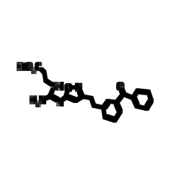 CCOC(=O)CCNC(N)=Nc1cc(CCc2cccc(C(=O)c3ccccc3)c2)no1